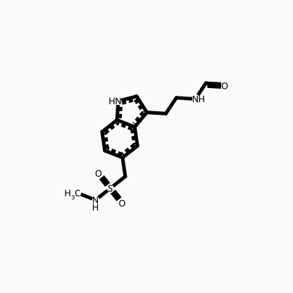 CNS(=O)(=O)Cc1ccc2[nH]cc(CCNC=O)c2c1